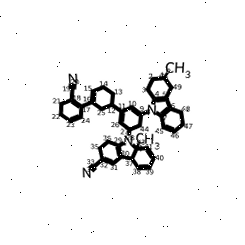 C[C@@H]1CCc2c(c3c(n2C2=CC(C4CCC=C(C5=C(C#N)CCC=C5)C4)=CC(N4C5=C(C=C(C#N)CC5)C5C=CC=C[C@]54C)C2)C=CCC3)C1